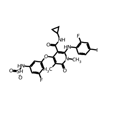 Cc1c(Oc2cc(F)cc(N[SH](=O)=O)c2)c(C(=O)NC2CC2)c(Nc2ccc(I)cc2F)n(C)c1=O